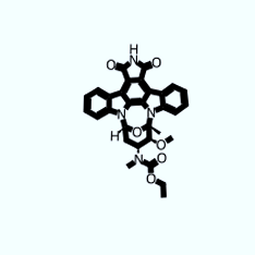 CCOC(=O)N(C)[C@@H]1C[C@@H]2O[C@@](C)([C@H]1OC)n1c3ccccc3c3c4c(c5c6ccccc6n2c5c31)C(=O)NC4=O